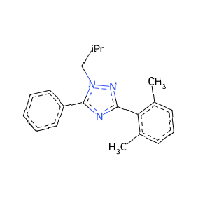 Cc1cccc(C)c1-c1nc(-c2ccccc2)n(CC(C)C)n1